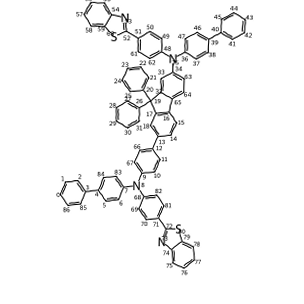 c1ccc(-c2ccc(N(c3ccc(-c4ccc5c(c4)C(c4ccccc4)(c4ccccc4)c4cc(N(c6ccc(-c7ccccc7)cc6)c6ccc(-c7nc8ccccc8s7)cc6)ccc4-5)cc3)c3ccc(-c4nc5ccccc5s4)cc3)cc2)cc1